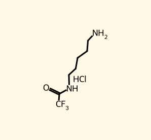 Cl.NCCCCCNC(=O)C(F)(F)F